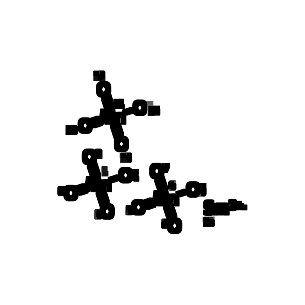 [O]=[Mn](=[O])(=[O])[O-].[O]=[Mn](=[O])(=[O])[O-].[O]=[Mn](=[O])(=[O])[O-].[Sm+3]